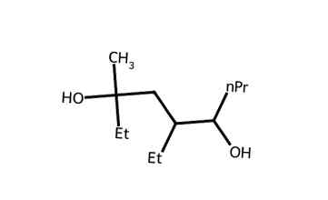 CCCC(O)C(CC)CC(C)(O)CC